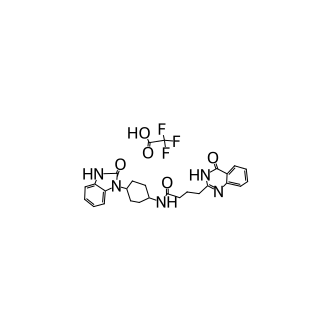 O=C(CCCc1nc2ccccc2c(=O)[nH]1)NC1CCC(n2c(=O)[nH]c3ccccc32)CC1.O=C(O)C(F)(F)F